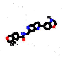 CC(=O)N1CCOc2ccc(-c3ccc4cnc(CNC(=O)c5ccc6c(c5)[C@](C)(C#N)COC6)cc4n3)cc21